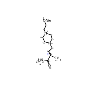 COCCN1CCN(C/C=C(\C)C(=O)NC(C)C)CC1